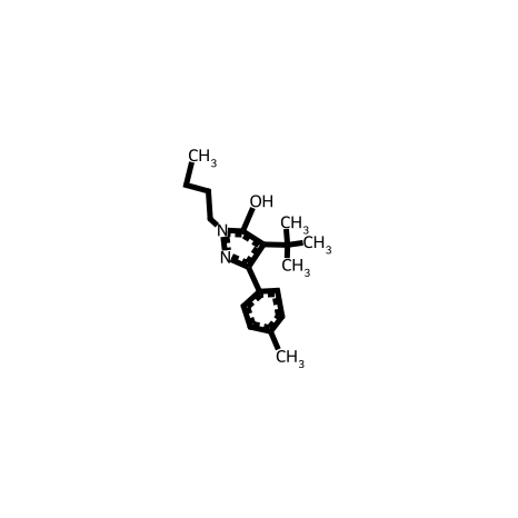 CCCCn1nc(-c2ccc(C)cc2)c(C(C)(C)C)c1O